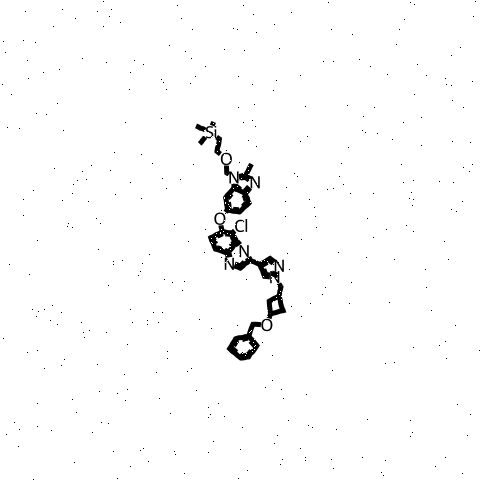 Cc1nc2ccc(Oc3ccc4ncc(-c5cnn(CC6CC(OCc7ccccc7)C6)c5)nc4c3Cl)cc2n1COCC[Si](C)(C)C